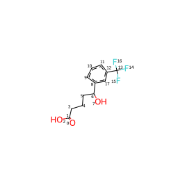 O=C(O)CCCC(O)c1cccc(C(F)(F)F)c1